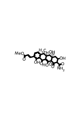 COC(=O)/C=C/c1ccc2c(c1O)C(=O)C1=C(O)[C@]3(O)C(=O)C(C(N)=O)C(O)C[C@@H]3[C@@H](O)[C@@H]1[C@H]2C